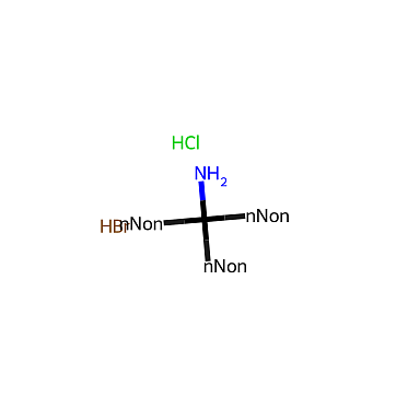 Br.CCCCCCCCCC(N)(CCCCCCCCC)CCCCCCCCC.Cl